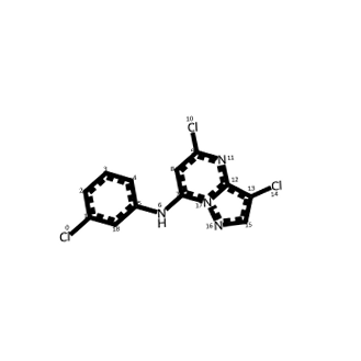 Clc1cccc(Nc2cc(Cl)nc3c(Cl)cnn23)c1